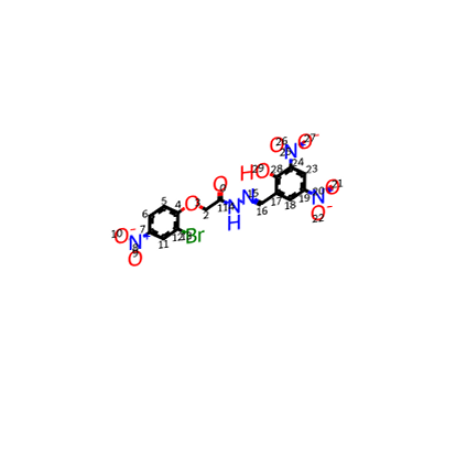 O=C(COc1ccc([N+](=O)[O-])cc1Br)N/N=C/c1cc([N+](=O)[O-])cc([N+](=O)[O-])c1O